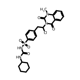 Cn1c(=O)n(C(Cl)Cc2ccc(S(=O)(=O)NC(=O)NC3CCCCC3)cc2)c(=O)c2ccccc21